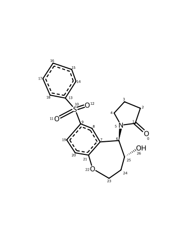 O=C1CCCN1[C@@H]1c2cc(S(=O)(=O)c3ccccc3)ccc2OCC[C@H]1O